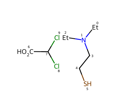 CCN(CC)CCS.O=C(O)C(Cl)Cl